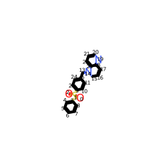 O=S(=O)(c1ccccc1)c1ccc(CN2CC=Cc3ncccc32)cc1